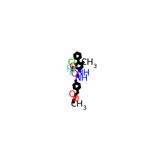 CCOC(=O)Cc1ccc(CNC(=O)NC2=CC(C)=C(c3ccccc3)C(Cl)(OC(F)(F)F)C2)cc1